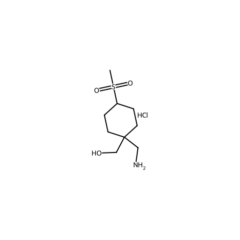 CS(=O)(=O)C1CCC(CN)(CO)CC1.Cl